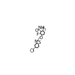 NC(=O)c1c(F)ccc(OCc2nc3cc(C4=CCCC4)ccc3s2)c1F